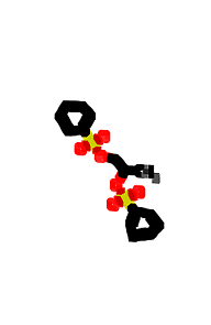 CC(COS(=O)(=O)c1ccccc1)OS(=O)(=O)c1ccccc1